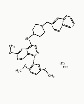 COc1ccc(OC)c(-c2nnc(NC3CCN(Cc4ccc5ccccc5c4)CC3)c3cc(OC)ccc23)c1.Cl.Cl